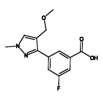 COCc1cn(C)nc1-c1cc(F)cc(C(=O)O)c1